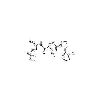 C[C@H](/C=C/S(C)(=O)=O)NC(=O)c1cnc(N2CCC[C@H]2c2ccccc2Cl)cc1C(F)(F)F